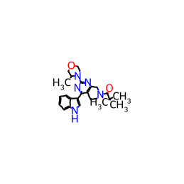 CC1COCCN1c1nc2c(c(-c3c[nH]c4ccccc34)n1)CCN(C(=O)C(C)(C)C)C2